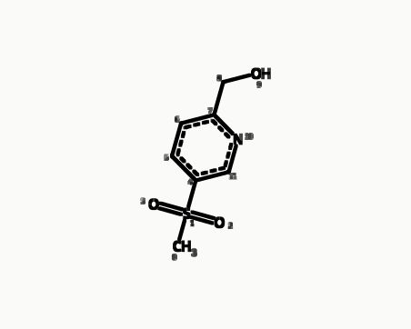 CS(=O)(=O)c1ccc(CO)nc1